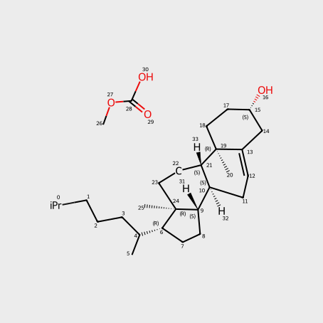 CC(C)CCCC(C)[C@H]1CC[C@H]2[C@@H]3CC=C4C[C@@H](O)CC[C@]4(C)[C@H]3CC[C@]12C.COC(=O)O